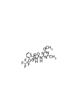 COc1nc(C)nc(NC(=O)NS(=O)(=O)c2ccccc2OC(F)(F)C(F)F)n1